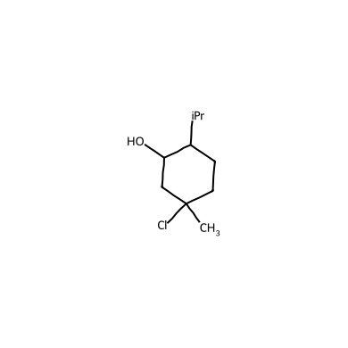 CC(C)C1CCC(C)(Cl)CC1O